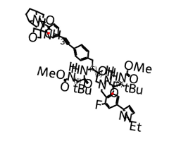 CCn1ccc(-c2cc(F)c(CN(C[C@H](O)[C@H](Cc3ccc(C#Cc4ccc(N5CC6CCC(C5)N6C(=O)C5(C)COC5)nc4)cc3)NC(=O)[C@@H](NC(=O)OC)C(C)(C)C)NC(=O)[C@@H](NC(=O)OC)C(C)(C)C)c(F)c2)n1